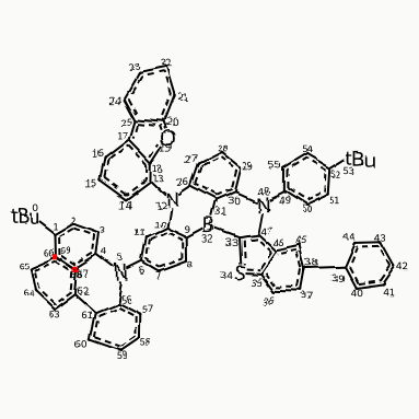 CC(C)(C)c1ccc(N(c2ccc3c(c2)N(c2cccc4c2oc2ccccc24)c2cccc4c2B3c2sc3ccc(-c5ccccc5)cc3c2N4c2ccc(C(C)(C)C)cc2)c2ccccc2-c2ccccc2)cc1